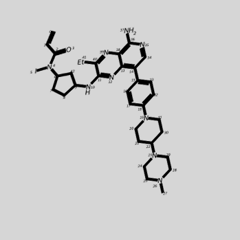 C=CC(=O)N(I)C1CCC(Nc2nc3c(-c4ccc(N5CCC(N6CCN(C)CC6)CC5)cc4)cnc(N)c3nc2CC)C1